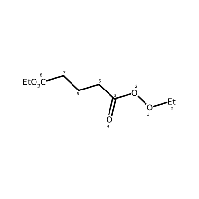 CCOOC(=O)CCCC(=O)OCC